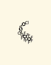 O=C(COc1c(F)c(F)c(-c2c(F)c(F)c(F)c(F)c2F)c(F)c1F)N1CCN(Cc2ccc(Cl)cc2)CC1